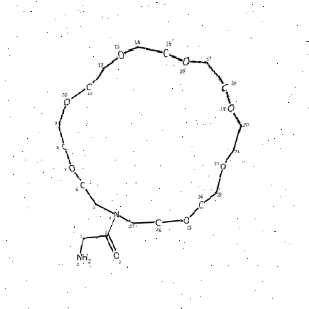 NCC(=O)N1CCOCCOCCOCCOCCOCCOCCOCC1